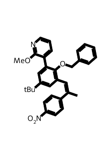 COc1ncccc1-c1cc(C(C)(C)C)cc(C=C(C)c2ccc([N+](=O)[O-])cc2)c1OCc1ccccc1